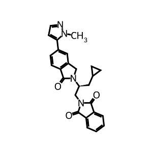 Cn1nccc1-c1ccc2c(c1)CN([C@@H](CC1CC1)CN1C(=O)c3ccccc3C1=O)C2=O